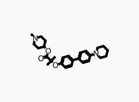 CN1CCC(OC(=O)C(C)(C)Oc2ccc(-c3ccc(N4CCCCC4)cc3)cc2)CC1